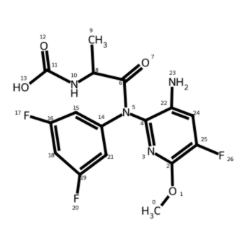 COc1nc(N(C(=O)C(C)NC(=O)O)c2cc(F)cc(F)c2)c(N)cc1F